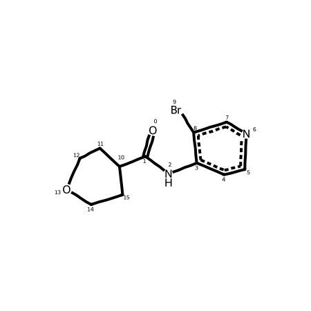 O=C(Nc1ccncc1Br)C1CCOCC1